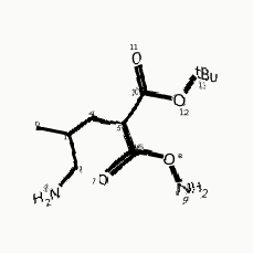 CC(CN)C[C@H](C(=O)ON)C(=O)OC(C)(C)C